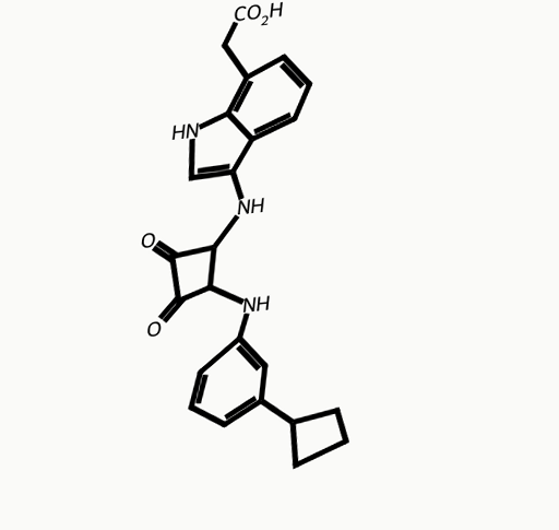 O=C(O)Cc1cccc2c(NC3C(=O)C(=O)C3Nc3cccc(C4CCC4)c3)c[nH]c12